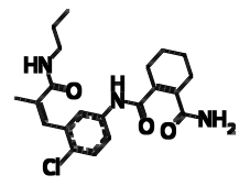 CCCNC(=O)C(C)=Cc1cc(NC(=O)C2=C(C(N)=O)CCCC2)ccc1Cl